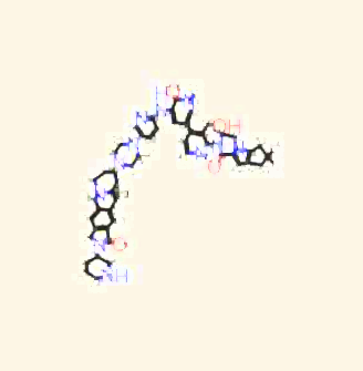 C[C@H]1CN([C@H]2CCN3Cc4cc5c(cc4C[C@@H]3C2)C(=O)N(C2CCCNC2)C5)CCN1c1ccc(Nc2cc(-c3ccnc(N4CCn5c(cc6c5CC(C)(C)C6)C4=O)c3CO)cn(C)c2=O)nc1